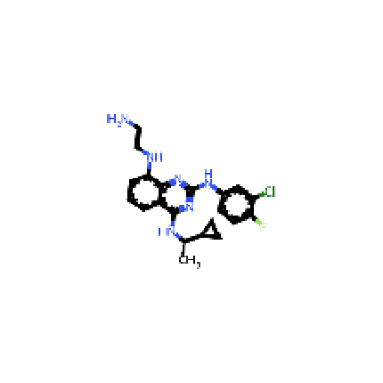 C[C@@H](Nc1nc(Nc2ccc(F)c(Cl)c2)nc2c(NCCN)cccc12)C1CC1